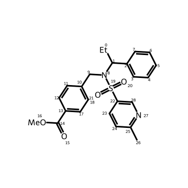 CCC(c1ccccc1)N(Cc1ccc(C(=O)OC)cc1)S(=O)(=O)c1ccc(C)nc1